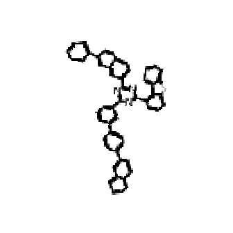 c1ccc(-c2ccc3ccc(-c4nc(-c5cccc(-c6ccc(-c7ccc8ccccc8c7)cc6)c5)nc(-c5cccc6sc7ccccc7c56)n4)cc3c2)cc1